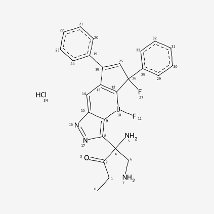 CCC(=O)C(N)(CN)C1=C2B(F)C3=C(C=C2N=N1)C(c1ccccc1)=CC3(F)c1ccccc1.Cl